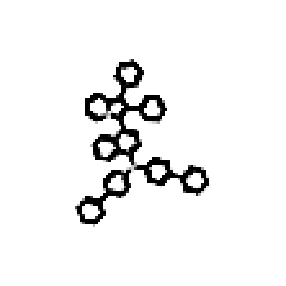 C1=CC(c2ccc(N(c3ccc(C4=CCCCC4)cc3)c3ccc(-c4c(-c5ccccc5)c(-c5ccccc5)c5ccccn45)c4ccccc34)cc2)=CCC1